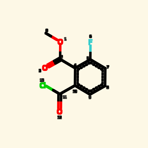 COC(=O)c1c(F)cccc1C(=O)Cl